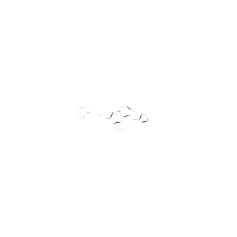 COc1cc2c(Nc3c[nH]c(C(=O)O)c3)ncnc2cc1OCCCN1CCOCC1